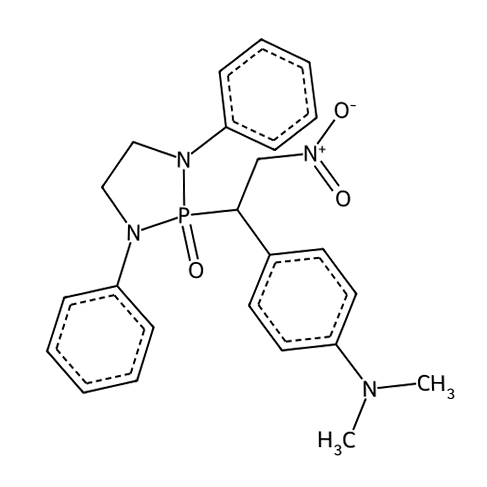 CN(C)c1ccc(C(C[N+](=O)[O-])P2(=O)N(c3ccccc3)CCN2c2ccccc2)cc1